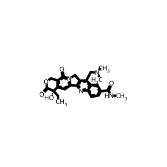 CC[C@@]1(O)C(=O)OCc2c1cc1n(c2=O)Cc2c-1nc1ccc(C(=O)NC)cc1c2CN(C)C